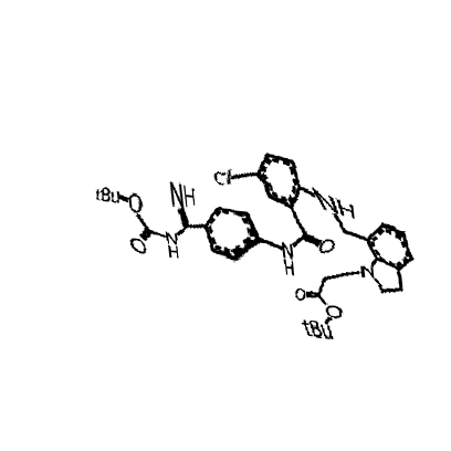 CC(C)(C)OC(=O)CN1CCc2cccc(CNc3ccc(Cl)cc3C(=O)Nc3ccc(C(=N)NC(=O)OC(C)(C)C)cc3)c21